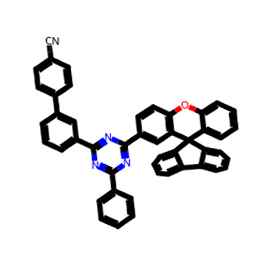 N#Cc1ccc(-c2cccc(-c3nc(-c4ccccc4)nc(-c4ccc5c(c4)C4(c6ccccc6O5)c5ccccc5-c5ccccc54)n3)c2)cc1